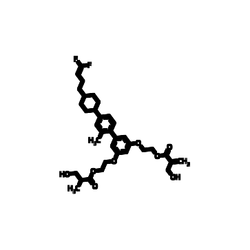 C=C(CO)C(=O)OCCOc1cc(OCCOC(=O)C(C)CO)cc(-c2ccc(C3CCC(CCC=C(F)F)CC3)cc2C)c1